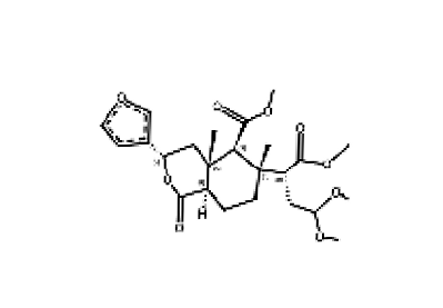 COC(=O)[C@H]1[C@](C)([C@@H](CC(OC)OC)C(=O)OC)CC[C@H]2C(=O)O[C@H](c3ccoc3)C[C@]12C